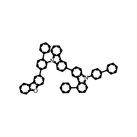 c1ccc(-c2ccc(-n3c4ccc(-c5ccc6c(c5)c5ccccc5n6-c5cc(-c6ccc7oc8ccccc8c7c6)ccc5-c5ccccc5)cc4c4c(-c5ccccc5)cccc43)cc2)cc1